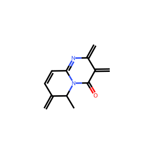 C=C1C=Cc2nc(=C)c(=C)c(=O)n2C1C